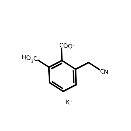 N#CCc1cccc(C(=O)O)c1C(=O)[O-].[K+]